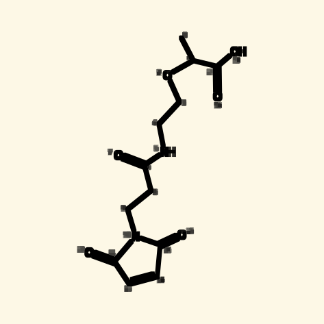 CC(OCCNC(=O)CCN1C(=O)C=CC1=O)C(=O)O